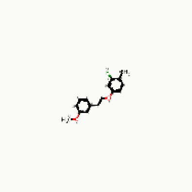 Bc1ccc(OCCc2cccc(OC)c2)cc1F